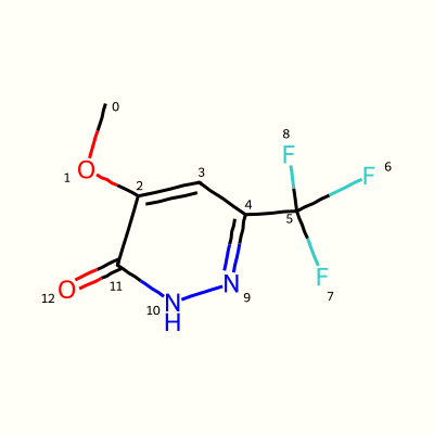 COc1cc(C(F)(F)F)n[nH]c1=O